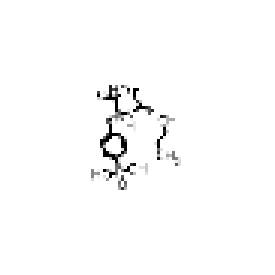 CCCC.O=C(O)[C@H](Cc1ccc(P(=O)(O)O)cc1)NC(F)F